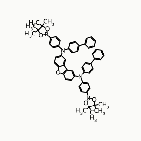 CC1(C)OB(c2ccc(N(c3ccc(-c4ccccc4)cc3)c3ccc4oc5ccc(N(c6ccc(B7OC(C)(C)C(C)(C)O7)cc6)c6ccc(-c7ccccc7)cc6)cc5c4c3)cc2)OC1(C)C